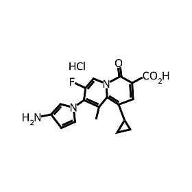 Cc1c(-n2ccc(N)c2)c(F)cn2c(=O)c(C(=O)O)cc(C3CC3)c12.Cl